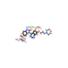 COc1cc2c(C3C(=O)Nc4ccc(S(=O)(=O)N(C)C)cc43)ncnc2cc1OCCCN1CCOCC1.Cl